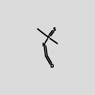 CP(C)(=S)N=C=O